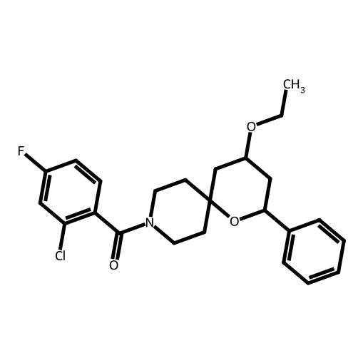 CCOC1CC(c2ccccc2)OC2(CCN(C(=O)c3ccc(F)cc3Cl)CC2)C1